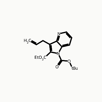 C=CCc1c(C(=O)OCC)n(C(=O)OC(C)(C)C)c2cccnc12